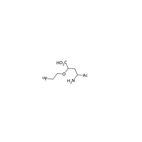 CC(=O)C(N)CC(OCC[18F])C(=O)O